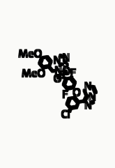 COc1ccc(CN(c2ncns2)S(=O)(=O)c2cc(F)c(Oc3ccc(Cl)cc3-c3ncn4ccncc34)cc2F)c(OC)c1